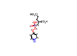 O=C(O)CCC(CP(=O)(O)OOC1=CCNC=C1)C(=O)O